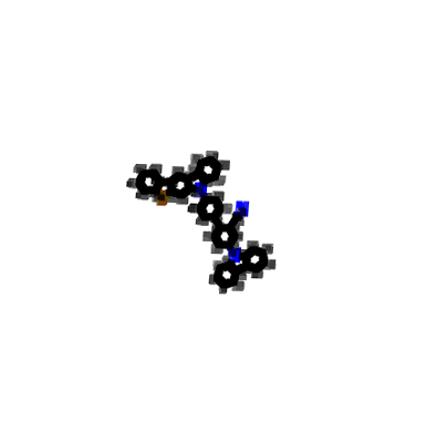 N#Cc1cc(-n2c3ccccc3c3ccccc32)ccc1-c1ccc(-n2c3ccccc3c3cc4c(cc32)sc2ccccc24)cc1